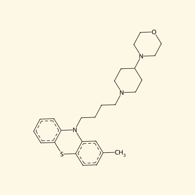 Cc1ccc2c(c1)N(CCCCN1CCC(N3CCOCC3)CC1)c1ccccc1S2